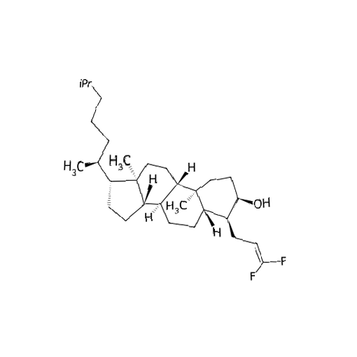 CC(C)CCC[C@H](C)[C@H]1CC[C@H]2[C@@H]3CC[C@H]4[C@H](CC=C(F)F)[C@H](O)CC[C@]4(C)[C@H]3CC[C@]12C